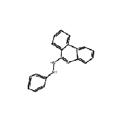 c1ccc(NNc2nc3ccccc3c3ccccc23)cc1